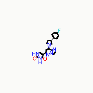 O=c1[nH]cc(-c2cc(N3CC[C@@H](c4ccc(F)cc4)C3)c3nccn3n2)c(=O)[nH]1